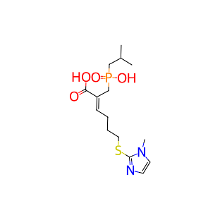 CC(C)CP(=O)(O)C/C(=C\CCCSc1nccn1C)C(=O)O